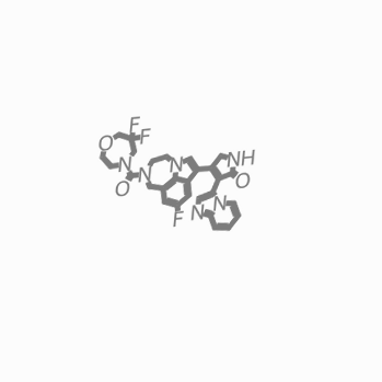 O=C1NCC(c2cn3c4c(cc(F)cc24)CN(C(=O)N2CCOCC(F)(F)C2)CC3)=C1c1cnc2ccccn12